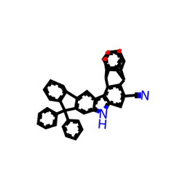 N#Cc1cc2[nH]c3cc4c(cc3c2c2c1C1c3ccccc3C2c2ccccc21)-c1ccccc1C4(c1ccccc1)c1ccccc1